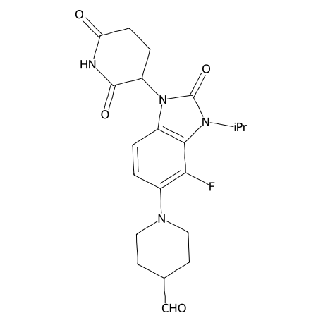 CC(C)n1c(=O)n(C2CCC(=O)NC2=O)c2ccc(N3CCC(C=O)CC3)c(F)c21